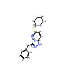 c1ccc(Cc2nnc3ccc(SC4CCCCC4)nn23)cc1